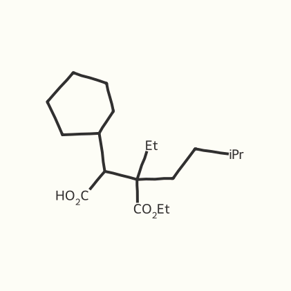 CCOC(=O)C(CC)(CCC(C)C)C(C(=O)O)C1CCCCC1